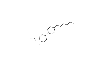 CCCCCCC1CCC([C@H]2CC[C@](C)(CCC)CC2)CC1